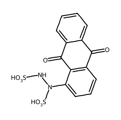 O=C1c2ccccc2C(=O)c2c1cccc2N(NS(=O)(=O)O)S(=O)(=O)O